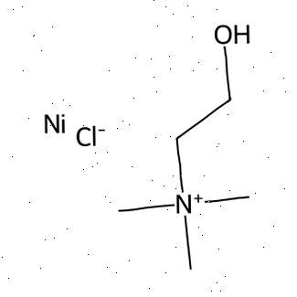 C[N+](C)(C)CCO.[Cl-].[Ni]